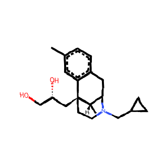 Cc1ccc2c(c1)[C@@]1(C[C@@H](O)CO)CCN(CC3CC3)C(C2)[C@@H]1C